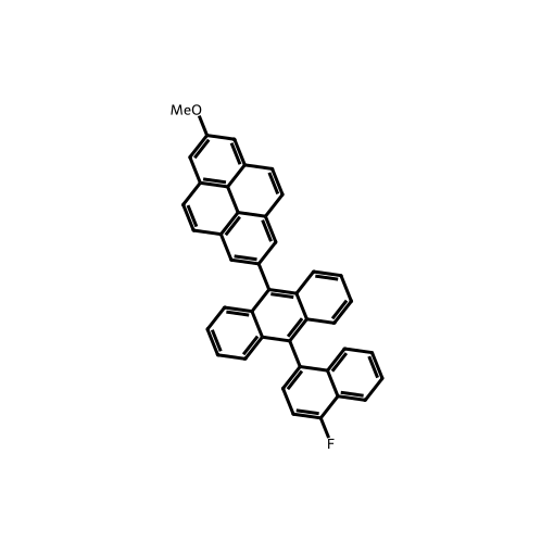 COc1cc2ccc3cc(-c4c5ccccc5c(-c5ccc(F)c6ccccc56)c5ccccc45)cc4ccc(c1)c2c34